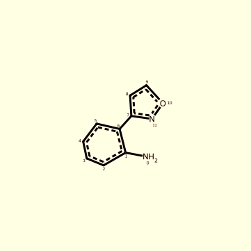 Nc1ccccc1-c1ccon1